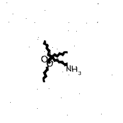 CCCCCCOC(=O)C(CCCCCC)(CCCCCC)CCCCCC.N